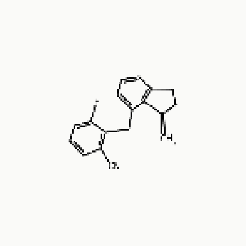 C=C1CCc2cccc(Cc3c(F)cccc3C#N)c21